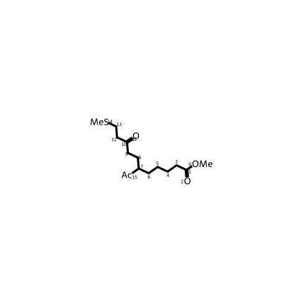 COC(=O)CCCCC(CCC(=O)CCSC)C(C)=O